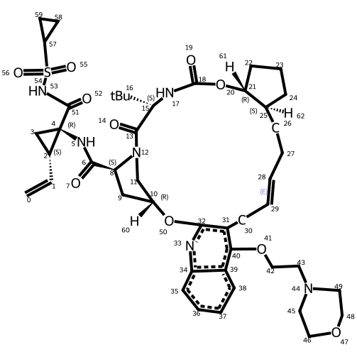 C=C[C@@H]1C[C@]1(NC(=O)[C@@H]1C[C@@H]2CN1C(=O)[C@H](C(C)(C)C)NC(=O)O[C@@H]1CCC[C@H]1CC/C=C/Cc1c(nc3ccccc3c1OCCN1CCOCC1)O2)C(=O)NS(=O)(=O)C1CC1